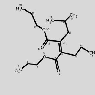 CCCOC(=O)C(CCC)=C(CC(C)C)C(=O)OCCC